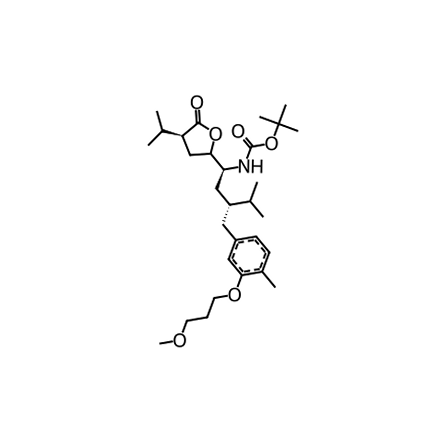 COCCCOc1cc(C[C@H](C[C@H](NC(=O)OC(C)(C)C)C2C[C@@H](C(C)C)C(=O)O2)C(C)C)ccc1C